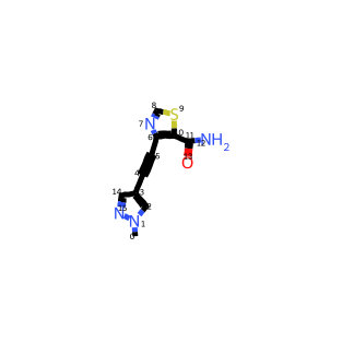 Cn1cc(C#Cc2ncsc2C(N)=O)cn1